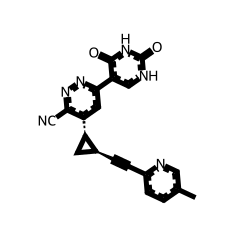 Cc1ccc(C#C[C@H]2C[C@@H]2c2cc(-c3c[nH]c(=O)[nH]c3=O)nnc2C#N)nc1